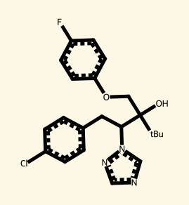 CC(C)(C)C(O)(COc1ccc(F)cc1)C(Cc1ccc(Cl)cc1)n1cncn1